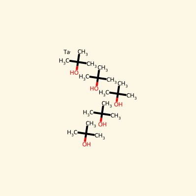 CC(C)(C)O.CC(C)(C)O.CC(C)(C)O.CC(C)(C)O.CC(C)(C)O.[Ta]